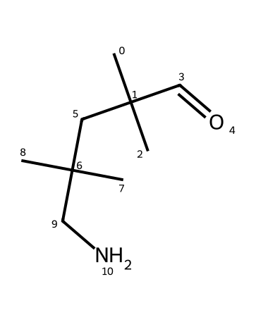 CC(C)(C=O)CC(C)(C)CN